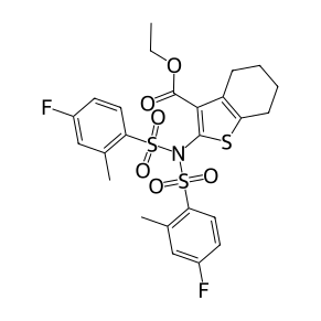 CCOC(=O)c1c(N(S(=O)(=O)c2ccc(F)cc2C)S(=O)(=O)c2ccc(F)cc2C)sc2c1CCCC2